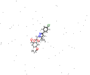 COC1CCC(C=O)(OC(=O)Cn2nc(-c3ccc(Cl)cc3)cc2C)CC1